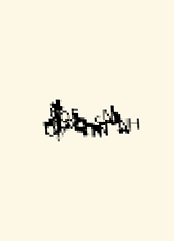 Cc1cc(NC(C)C)cc(-c2nnc(-c3cc(F)c(OC[C@H]4[C@H](C)OC(C)(C)N4C(=O)OC(C)(C)C)cc3C)s2)n1